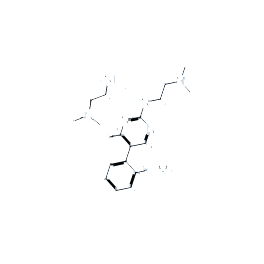 CN(C)CCN.COc1ccccc1-c1cnc(NCCN(C)C)nc1C(=O)O